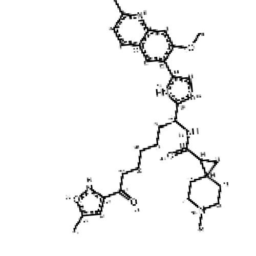 COc1cc2nc(C)ccc2cc1-c1cnc([C@H](CCCCCC(=O)c2cc(C)on2)NC(=O)C2CC23CCN(C)CC3)[nH]1